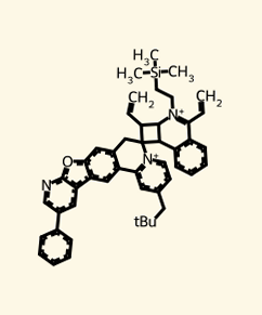 C=CC1=[N+](CC[Si](C)(C)C)C2C(C=C)C3(Cc4cc5oc6ncc(-c7ccccc7)cc6c5cc4-c4cc(CC(C)(C)C)cc[n+]43)C2c2ccccc21